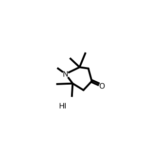 CN1C(C)(C)CC(=O)CC1(C)C.I